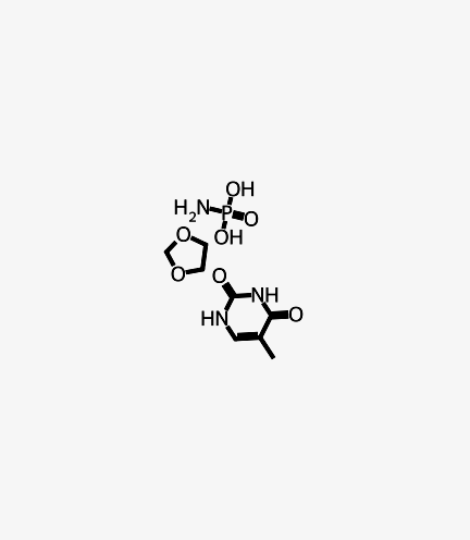 C1COCO1.Cc1c[nH]c(=O)[nH]c1=O.NP(=O)(O)O